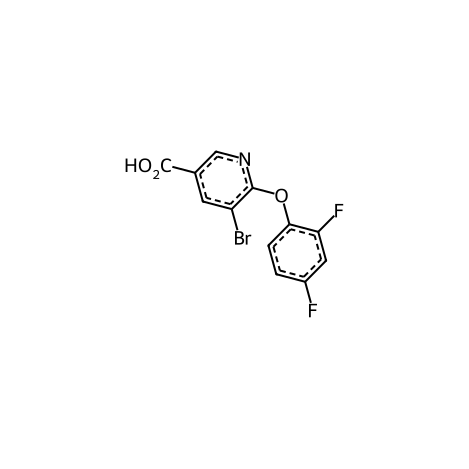 O=C(O)c1cnc(Oc2ccc(F)cc2F)c(Br)c1